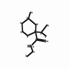 [CH2]CNC(=O)C1(C(C)C)CCCC(C)C1